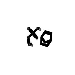 C1=CC2CCC1C2.C=NS(=O)(=O)C(F)(F)F